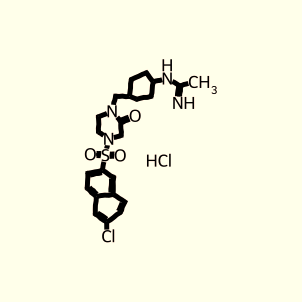 CC(=N)NC1CCC(CN2CCN(S(=O)(=O)c3ccc4cc(Cl)ccc4c3)CC2=O)CC1.Cl